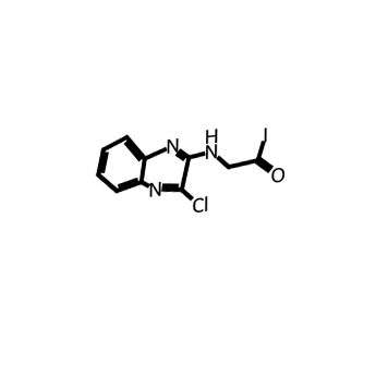 O=C(I)CNc1nc2ccccc2nc1Cl